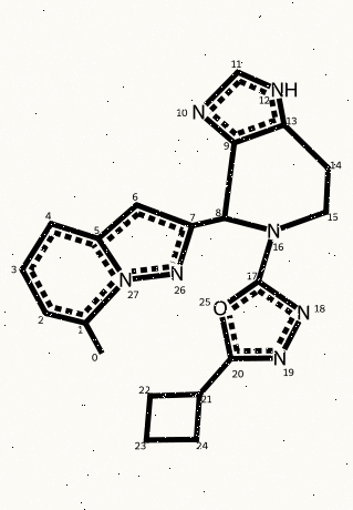 Cc1cccc2cc(C3c4nc[nH]c4CCN3c3nnc(C4CCC4)o3)nn12